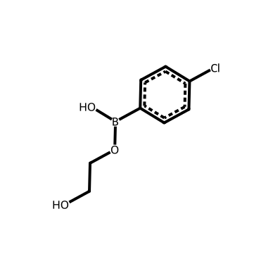 OCCOB(O)c1ccc(Cl)cc1